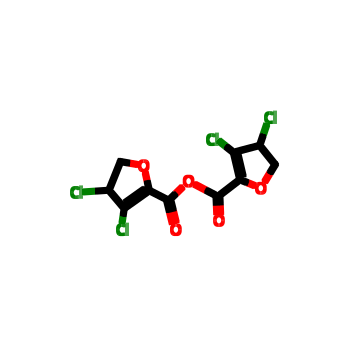 O=C(OC(=O)C1=C(Cl)C(Cl)CO1)C1=C(Cl)C(Cl)CO1